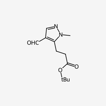 Cn1ncc(C=O)c1CCC(=O)OC(C)(C)C